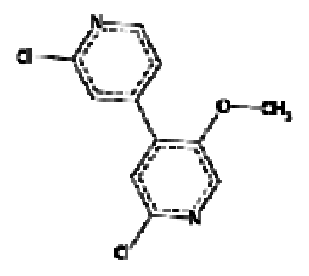 COc1cnc(Cl)cc1-c1ccnc(Cl)c1